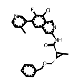 Cc1ccncc1-c1cc2cc(NC(=O)[C@H]3C(C)[C@@H]3COCc3ccccc3)ncc2c(Cl)c1F